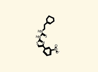 O=[N+]([O-])c1cccc(-c2csc(NC(=S)NCCC3=CCCCC3)n2)c1